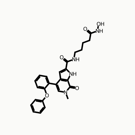 Cn1cc(-c2ccccc2Oc2ccccc2)c2cc(C(=O)NCCCCC(=O)NO)[nH]c2c1=O